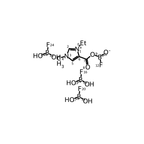 CC[n+]1cn(C)cc1C(=O)OB([O-])F.OB(O)F.OB(O)F.OB(O)F